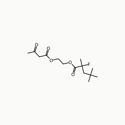 CC(=O)CC(=O)OCCOC(=O)C(C)(F)CC(C)(C)C